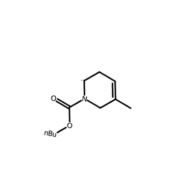 CCCCOC(=O)N1[CH]CC=C(C)C1